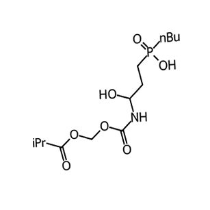 CCCCP(=O)(O)CCC(O)NC(=O)OCOC(=O)C(C)C